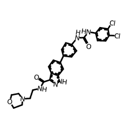 O=C(Nc1ccc(-c2ccc3c(C(=O)NCCN4CCOCC4)n[nH]c3c2)cc1)Nc1ccc(Cl)c(Cl)c1